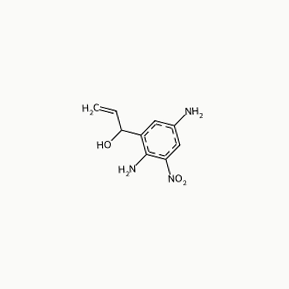 C=CC(O)c1cc(N)cc([N+](=O)[O-])c1N